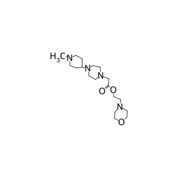 CN1CCC(N2CCN(CC(=O)OCCN3CCOCC3)CC2)CC1